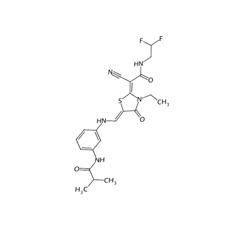 CCn1c(=C(C#N)C(=O)NCC(F)F)sc(=CNc2cccc(NC(=O)C(C)C)c2)c1=O